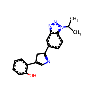 CC(C)n1nnc2cc(C3=NC=C(c4ccccc4O)C3)ccc21